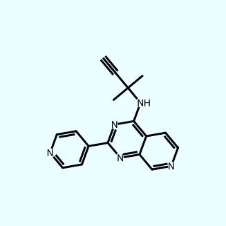 C#CC(C)(C)Nc1nc(-c2ccncc2)nc2cnccc12